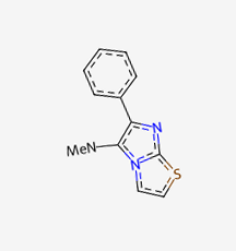 CNc1c(-c2ccccc2)nc2sccn12